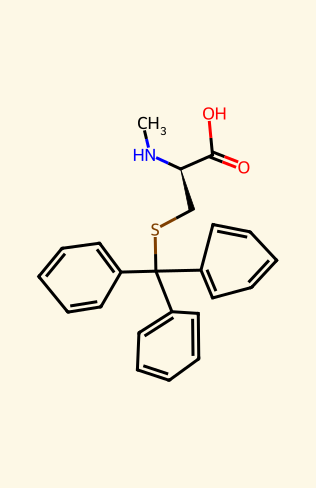 CN[C@H](CSC(c1ccccc1)(c1ccccc1)c1ccccc1)C(=O)O